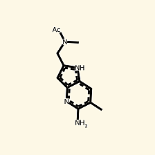 CC(=O)N(C)Cc1cc2nc(N)c(C)cc2[nH]1